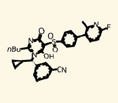 CCCCc1nc(=O)c(S(=O)(=O)c2ccc(-c3ccc(F)nc3C)cc2)c(O)n1[C@H](c1cccc(C#N)c1)C1CC1